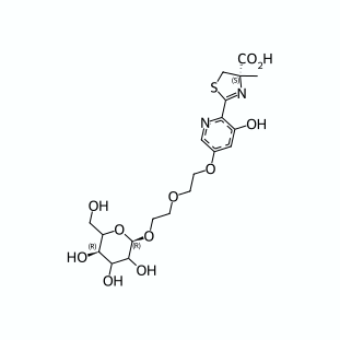 C[C@]1(C(=O)O)CSC(c2ncc(OCCOCCO[C@@H]3OC(CO)[C@H](O)C(O)C3O)cc2O)=N1